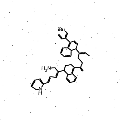 C=C/C(=C\C(C)CC)C1=C2C=CC=CC2C(/C(=C/C)CCC(=C)C2=C3C=CC=CC3C(/C(=C/C=C/C3=CC=CCN3)CN)CC2)C=C1